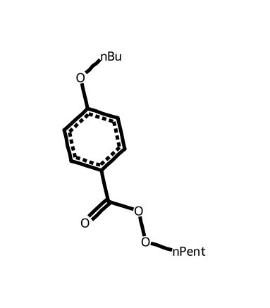 [CH2]CCCCOOC(=O)c1ccc(OCCCC)cc1